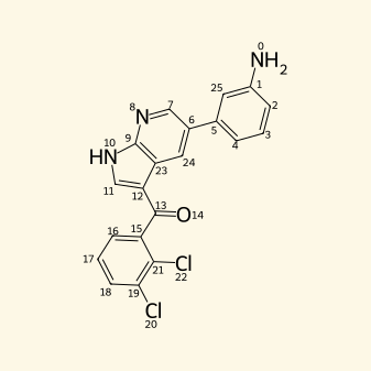 Nc1cccc(-c2cnc3[nH]cc(C(=O)c4cccc(Cl)c4Cl)c3c2)c1